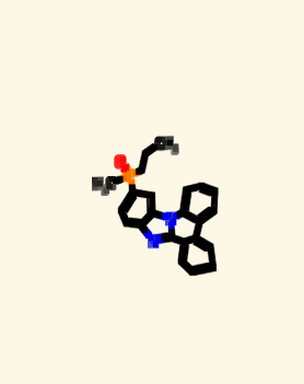 CCCP(C)(=O)c1ccc2nc3c4ccccc4c4ccccc4n3c2c1